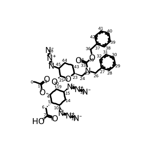 CC(=O)O[C@H]1[C@@H](CC(=O)O)[C@H](N=[N+]=[N-])C[C@H](N=[N+]=[N-])[C@H]1O[C@H]1O[C@H](CN(Cc2ccccc2)C(=O)OCc2ccccc2)CCC1N=[N+]=[N-]